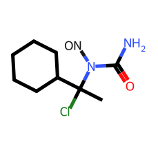 CC(Cl)(C1CCCCC1)N(N=O)C(N)=O